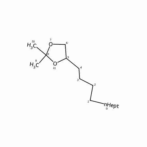 CCCCCCCCCCCC1COC(C)(C)O1